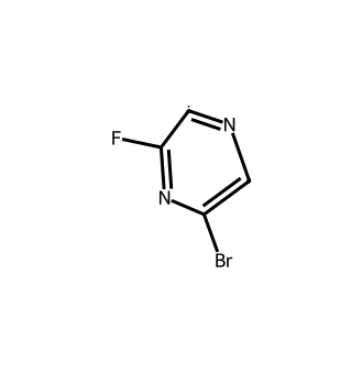 Fc1[c]ncc(Br)n1